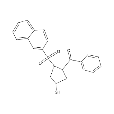 O=C(c1ccccc1)C1CC(S)CN1S(=O)(=O)c1ccc2ccccc2c1